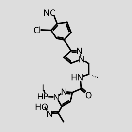 C/C(=N/O)c1cc(C(=O)N[C@@H](C)Cn2ccc(-c3ccc(C#N)c(Cl)c3)n2)nn1PI